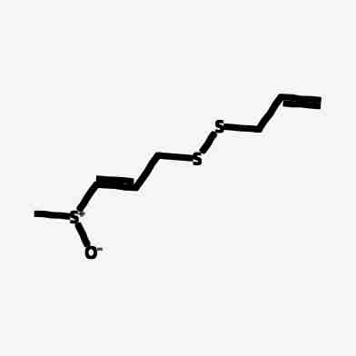 C=CCSSC/C=C/[S+](C)[O-]